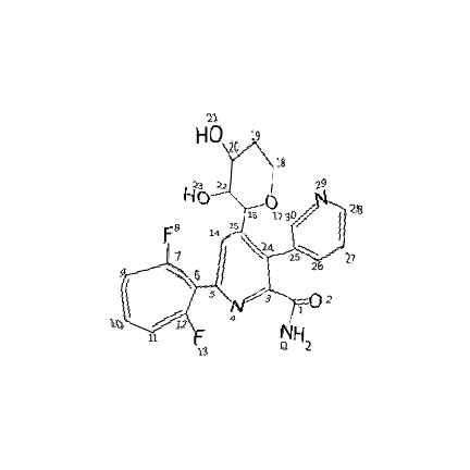 NC(=O)c1nc(-c2c(F)cccc2F)cc(C2OCCC(O)C2O)c1-c1cccnc1